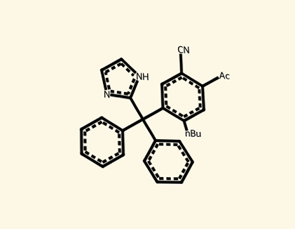 CCCCc1cc(C(C)=O)c(C#N)cc1C(c1ccccc1)(c1ccccc1)c1ncc[nH]1